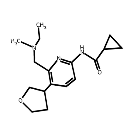 CCN(C)Cc1nc(NC(=O)C2CC2)ccc1C1CCOC1